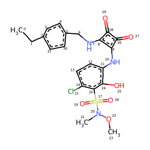 CCc1ccc(CNc2c(Nc3ccc(Cl)c(S(=O)(=O)N(C)OC)c3O)c(=O)c2=O)cc1